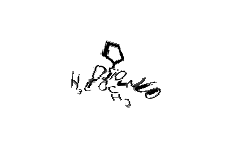 CO[Si](OC)(OCN=C=O)C1CCCC1